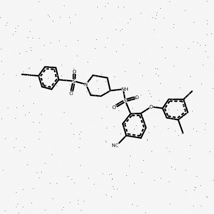 Cc1ccc(S(=O)(=O)N2CCC(NS(=O)(=O)c3cc(C#N)ccc3Oc3cc(C)cc(C)c3)CC2)cc1